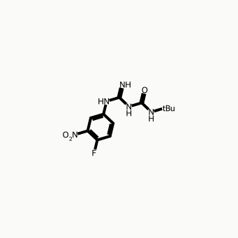 CC(C)(C)NC(=O)NC(=N)Nc1ccc(F)c([N+](=O)[O-])c1